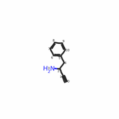 C#CC(N)Cc1ccccc1